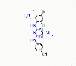 N#Cc1ccc(Nc2nc(N)nc(Nc3c(Cl)cc(Br)cc3CN)n2)cc1